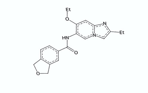 CCOc1cc2nc(CC)cn2cc1NC(=O)c1ccc2c(c1)COC2